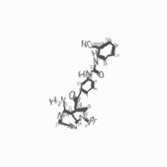 CC(C)n1cc(C(=O)c2cccc(NC(=O)Nc3ccccc3C#N)c2)c2c(N)ncnc21